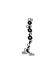 CC(C)(C)CC(C(=O)OCCOCCOc1ccc(/C=N/c2ccc(C(=O)Oc3ccc(C#N)cc3)cc2)cc1)C(C)(C)C